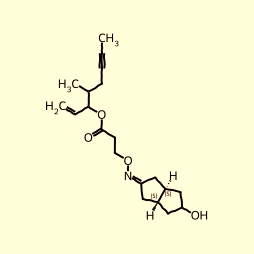 C=CC(OC(=O)CCON=C1C[C@H]2CC(O)C[C@@H]2C1)C(C)CC#CC